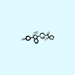 Cl.NC1(C(=O)N2CCN(c3nnc(-c4ccc(Cl)cc4)c4ccccc34)CC2)CCCC1